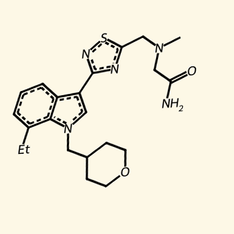 CCc1cccc2c(-c3nsc(CN(C)CC(N)=O)n3)cn(CC3CCOCC3)c12